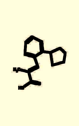 C/C(=C\c1ccccc1C1CCCC1)C(=O)O